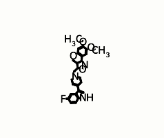 COc1cc2c(cc1OC)C1=NOC(CN3CC=C(c4c[nH]c5ccc(F)cc45)CC3)C1CO2